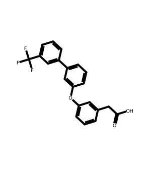 O=C(O)Cc1cccc(Oc2cccc(-c3cccc(C(F)(F)F)c3)c2)c1